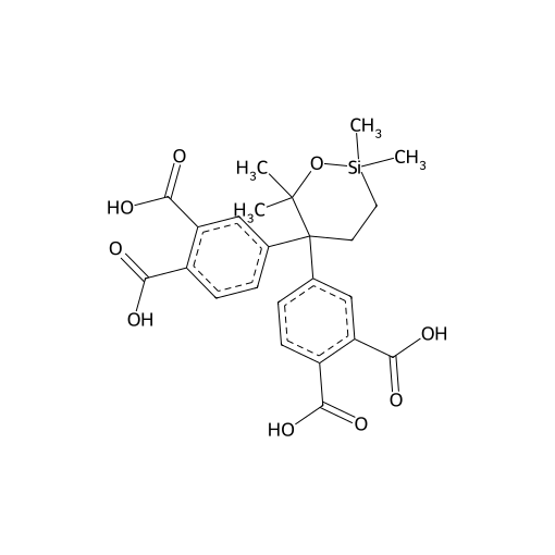 CC1(C)O[Si](C)(C)CCC1(c1ccc(C(=O)O)c(C(=O)O)c1)c1ccc(C(=O)O)c(C(=O)O)c1